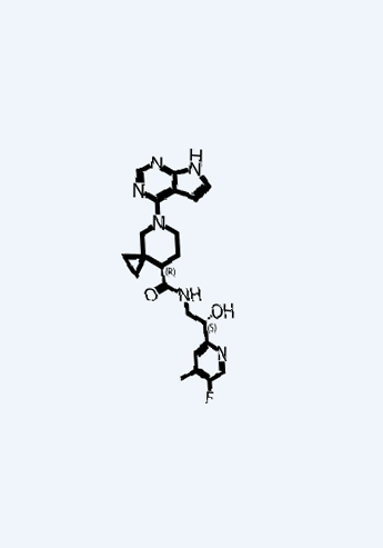 Cc1cc([C@@H](O)CNC(=O)[C@@H]2CCN(c3ncnc4[nH]ccc34)CC23CC3)ncc1F